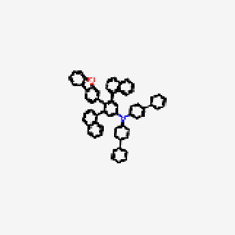 c1ccc(-c2ccc(N(c3ccc(-c4ccccc4)cc3)c3cc(-c4cccc5ccccc45)c(-c4ccc5c(c4)oc4ccccc45)c(-c4cccc5ccccc45)c3)cc2)cc1